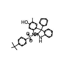 Cc1cc(C2(c3ccccc3)C(=O)Nc3ccccc32)c(NS(=O)(=O)c2ccc(C(C)(C)C)cc2)cc1O